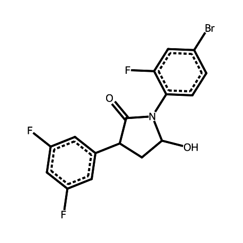 O=C1C(c2cc(F)cc(F)c2)CC(O)N1c1ccc(Br)cc1F